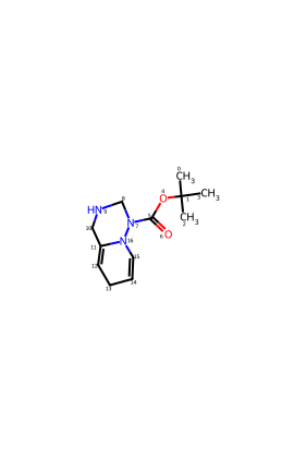 CC(C)(C)OC(=O)N1CNCC2=CCC=CN21